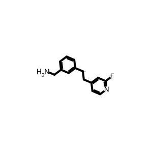 NCc1cccc([CH]Cc2ccnc(F)c2)c1